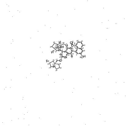 Oc1cc(-c2nc3c4c(nc(OC[C@@]56CCCN5C[C@H](F)C6)nc4c2F)N2C[C@H]4CC[C@H](N4)[C@H]2CO3)c2c(OC(F)(F)F)cccc2c1